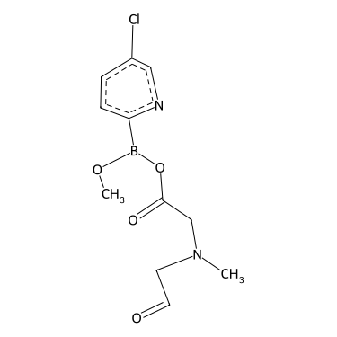 COB(OC(=O)CN(C)CC=O)c1ccc(Cl)cn1